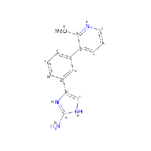 COc1ncccc1-c1cccc(-c2c[nH]c(N)n2)c1